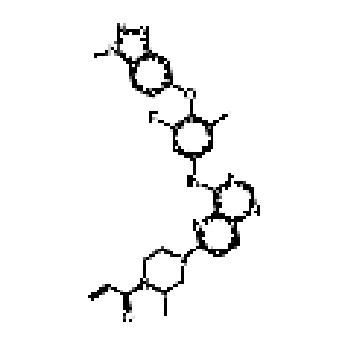 C=CC(=O)N1CCN(c2ccc3ncnc(Nc4cc(C)c(Oc5ccc6c(c5)nnn6C)c(F)c4)c3n2)C[C@H]1C